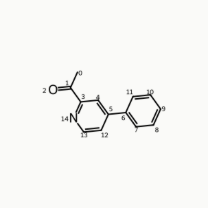 CC(=O)c1cc(-c2ccccc2)ccn1